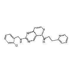 Clc1ccccc1CNc1ncc2c(NCCc3ccccn3)nccc2n1